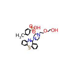 Cc1ccc(S(=O)(=O)O)cc1.OCCOCCN1CCN(C2=Nc3ccccc3Sc3ccccc32)CC1